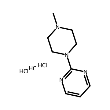 CN1CCN(c2ncccn2)CC1.Cl.Cl.Cl